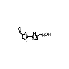 O=Cc1csc(-c2nc(C=NO)cs2)n1